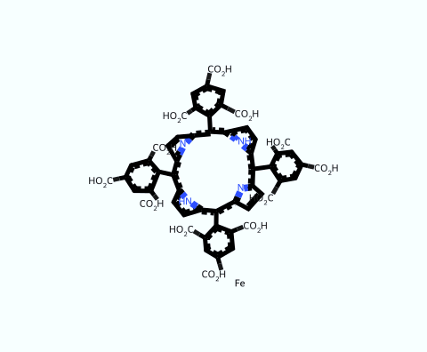 O=C(O)c1cc(C(=O)O)c(-c2c3nc(c(-c4c(C(=O)O)cc(C(=O)O)cc4C(=O)O)c4ccc([nH]4)c(-c4c(C(=O)O)cc(C(=O)O)cc4C(=O)O)c4nc(c(-c5c(C(=O)O)cc(C(=O)O)cc5C(=O)O)c5ccc2[nH]5)C=C4)C=C3)c(C(=O)O)c1.[Fe]